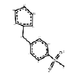 CS(=O)(=O)c1ccc(Cc2ccccc2)cc1